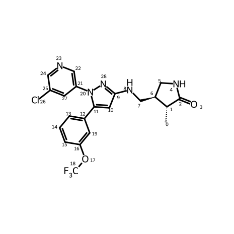 C[C@H]1C(=O)NC[C@@H]1CNc1cc(-c2cccc(OC(F)(F)F)c2)n(-c2cncc(Cl)c2)n1